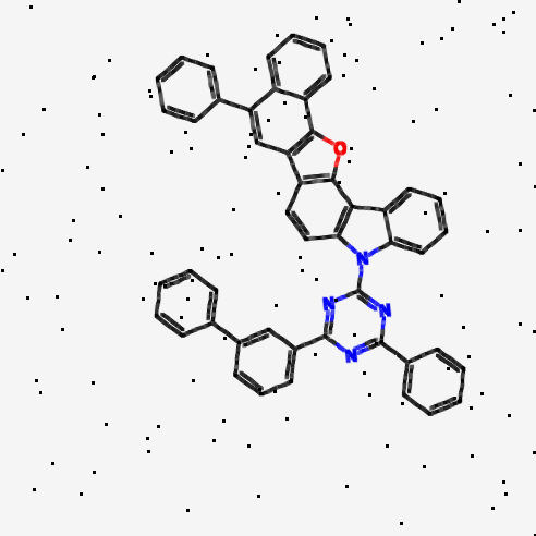 c1ccc(-c2cccc(-c3nc(-c4ccccc4)nc(-n4c5ccccc5c5c6oc7c8ccccc8c(-c8ccccc8)cc7c6ccc54)n3)c2)cc1